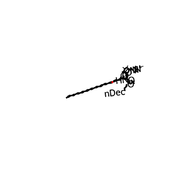 CC#CC#CC#CC#CC#CC#CC#CC#CC#CC#CC#CC#CC(=O)N[C@@H](CO[C@H]1OC(CN=[N+]=[N-])[C@H](C)[C@H](C)C1C)[C@@H]1OC(C)(C)O[C@@H]1C=CCCCCCCCCCCCC